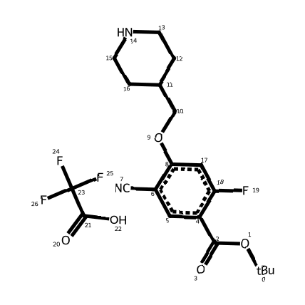 CC(C)(C)OC(=O)c1cc(C#N)c(OCC2CCNCC2)cc1F.O=C(O)C(F)(F)F